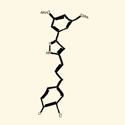 COc1cc(OC)cc(-c2cc(C=CCc3ccc(Cl)c(Cl)c3)[nH]n2)c1